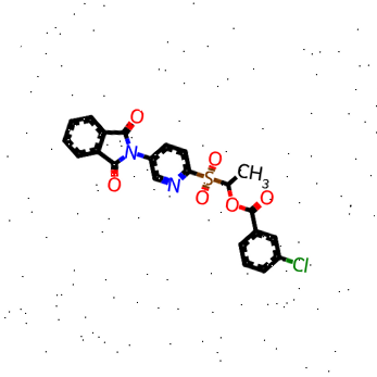 CC(OC(=O)c1cccc(Cl)c1)S(=O)(=O)c1ccc(N2C(=O)c3ccccc3C2=O)cn1